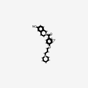 Cl.N#Cc1ccc2c(c1)CCN(C(=O)c1ccc(OCCCN3CCCCC3)cc1)C2